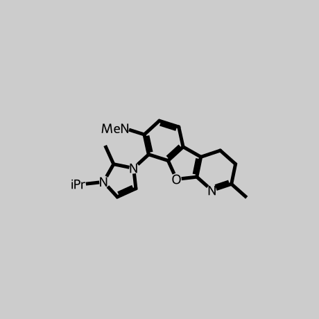 CNc1ccc2c3c(oc2c1N1C=CN(C(C)C)C1C)N=C(C)CC3